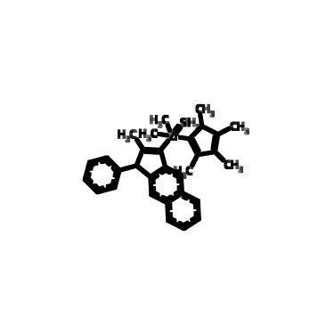 CC1=C(C)C(C)[C]([Zr]([CH3])([CH3])(=[SiH2])[C]2=C(C)C(c3ccccc3)c3cc4ccccc4cc32)=C1C